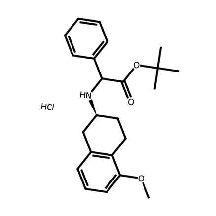 COc1cccc2c1CC[C@H](NC(C(=O)OC(C)(C)C)c1ccccc1)C2.Cl